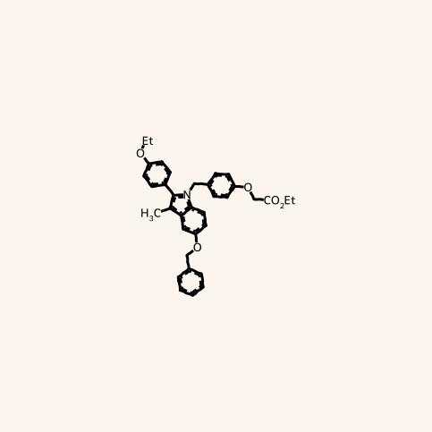 CCOC(=O)COc1ccc(Cn2c(-c3ccc(OCC)cc3)c(C)c3cc(OCc4ccccc4)ccc32)cc1